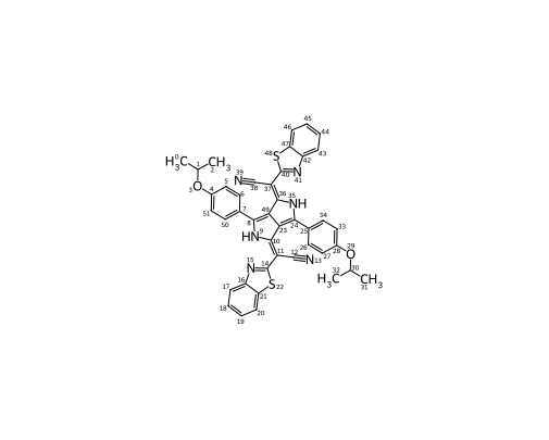 CC(C)Oc1ccc(-c2[nH]/c(=C(/C#N)c3nc4ccccc4s3)c3c(-c4ccc(OC(C)C)cc4)[nH]/c(=C(/C#N)c4nc5ccccc5s4)c23)cc1